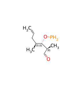 C=CC[C@H](C)[C@H](OP)[C@@H](C)C=O